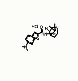 CN(C)c1ccc2cc(C(=O)N[C@@H]3C4CCN(CC4)C3(C)C)sc2c1.Cl